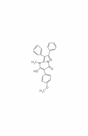 COc1ccc(-c2c(O)n(C)c3c(-c4ccccc4)c(-c4ccccc4)nn3c2=O)cc1